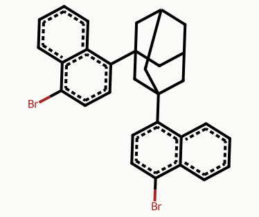 Brc1ccc(C23CC4CC(C2)CC(c2ccc(Br)c5ccccc25)(C4)C3)c2ccccc12